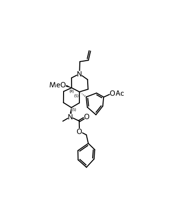 C=CCN1CC[C@@]2(c3cccc(OC(C)=O)c3)C[C@@H](N(C)C(=O)OCc3ccccc3)CC[C@]2(OC)C1